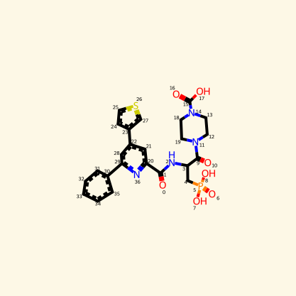 O=C(NC(CP(=O)(O)O)C(=O)N1CCN(C(=O)O)CC1)c1cc(-c2ccsc2)cc(-c2ccccc2)n1